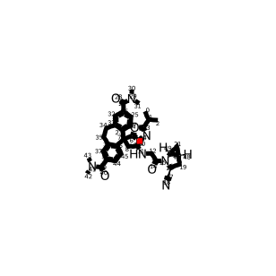 CC(C)c1nnc(C2(C[C@@H](C)NCC(=O)N3[C@H](C#N)C[C@@H]4C[C@@H]43)c3ccc(C(=O)N(C)C)cc3CCc3cc(C(=O)N(C)C)ccc32)o1